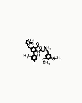 COc1cc(CN(C)CC(=O)Nc2c(C=O)cc(Cn3ccoc3=N)cc2-c2ccc(F)cc2C)cc(OC)c1